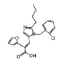 CCCCc1ncc(/C=C(/C(=O)O)c2ccco2)n1Cc1ccccc1Cl